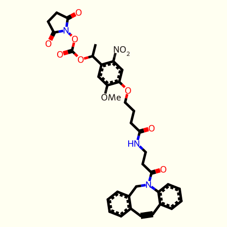 COc1cc(C(C)OC(=O)ON2C(=O)CCC2=O)c([N+](=O)[O-])cc1OCCCC(=O)NCCC(=O)N1Cc2ccccc2C#Cc2ccccc21